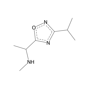 CNC(C)c1nc(C(C)C)no1